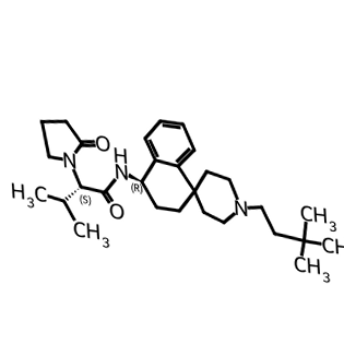 CC(C)[C@@H](C(=O)N[C@@H]1CCC2(CCN(CCC(C)(C)C)CC2)c2ccccc21)N1CCCC1=O